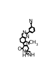 Cn1c2c(c3c1-c1nc(-c4cccc(C#N)c4)ncc1CC3)C(=O)NC1(CNC1)C2